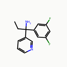 CCC(N)(c1cccnc1)c1cc(F)cc(F)c1